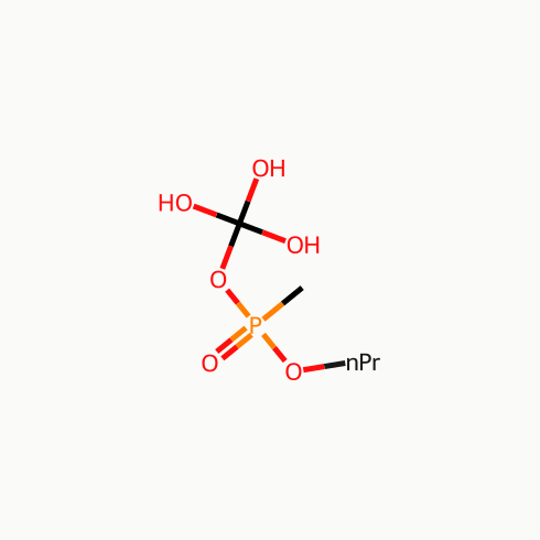 CCCOP(C)(=O)OC(O)(O)O